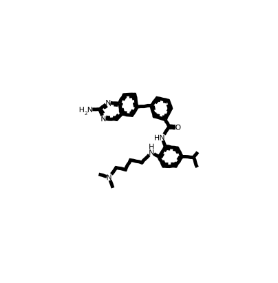 CC(C)c1ccc(NCCCCN(C)C)c(NC(=O)c2cccc(-c3ccc4nc(N)ncc4c3)c2)c1